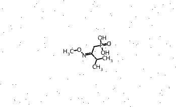 CON=C(CP(=O)(O)O)C(C)C